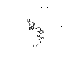 CN1CCC(NC(=O)c2cnn3ccc(-c4c[nH]c5nc(N)ncc45)cc23)CC1